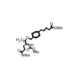 CNC(=O)CC[C@H](NC(=O)OC(C)(C)C)[C@@H](C)OCc1ccc(CCCCC(=O)OC)cc1